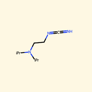 CC(C)N(CCN=C=N)C(C)C